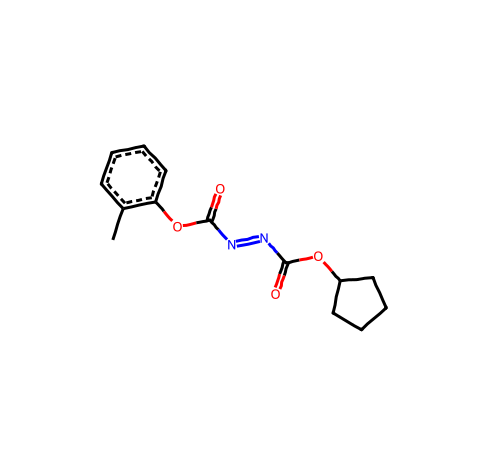 Cc1ccccc1OC(=O)N=NC(=O)OC1CCCC1